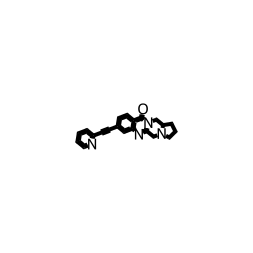 O=c1c2ccc(C#Cc3ccccn3)cc2nc2n1CC1CCCN1C2